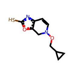 Sc1nc2c(o1)CN(OCC1CC1)C=C2